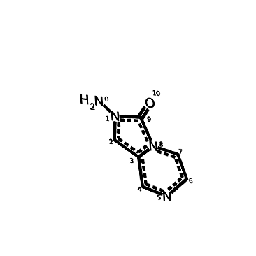 Nn1cc2cnccn2c1=O